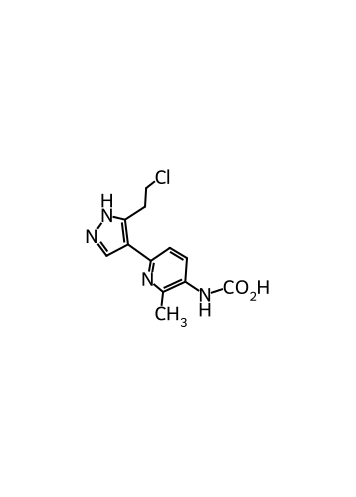 Cc1nc(-c2cn[nH]c2CCCl)ccc1NC(=O)O